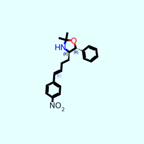 CC1(C)N[C@H](CC/C=C/c2ccc([N+](=O)[O-])cc2)[C@@H](c2ccccc2)O1